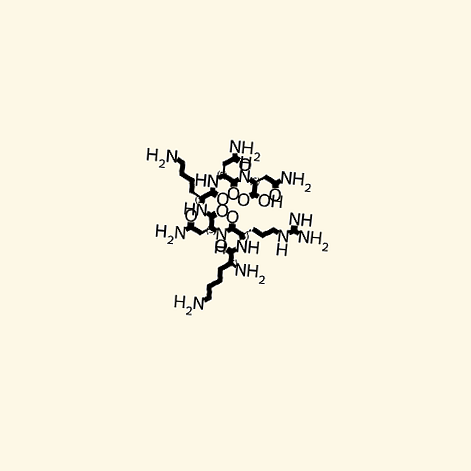 N=C(N)NCCC[C@H](NC(=O)[C@@H](N)CCCCN)C(=O)N[C@@H](CC(N)=O)C(=O)N[C@@H](CCCCN)C(=O)N[C@@H](CC(N)=O)C(=O)N[C@@H](CC(N)=O)C(=O)O